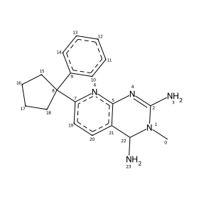 CN1C(N)=Nc2nc(C3(c4ccccc4)CCCC3)ccc2C1N